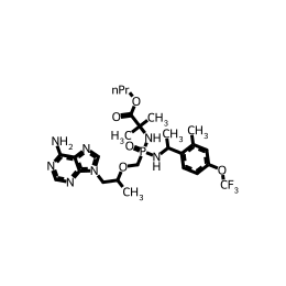 CCCOC(=O)C(C)(C)NP(=O)(COC(C)Cn1cnc2c(N)ncnc21)NC(C)c1ccc(OC(F)(F)F)cc1C